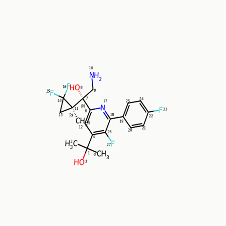 CC(C)(O)c1cc([C@](O)(CN)[C@@]2(C)CC2(F)F)nc(-c2ccc(F)cc2)c1F